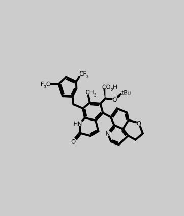 Cc1c([C@H](OC(C)(C)C)C(=O)O)c(-c2ccc3c4c(ccnc24)CCO3)c2ccc(=O)[nH]c2c1Cc1cc(C(F)(F)F)cc(C(F)(F)F)c1